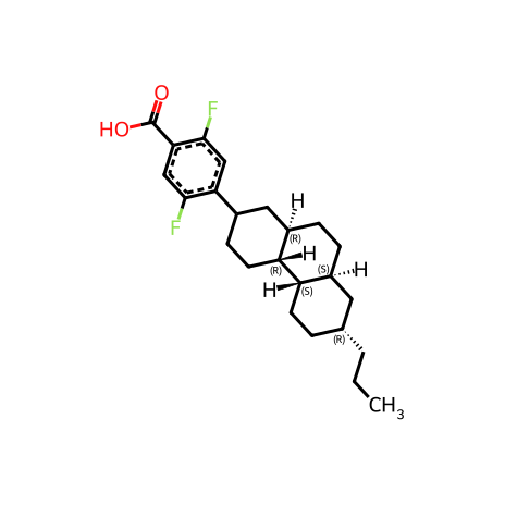 CCC[C@@H]1CC[C@H]2[C@@H](CC[C@@H]3CC(c4cc(F)c(C(=O)O)cc4F)CC[C@H]32)C1